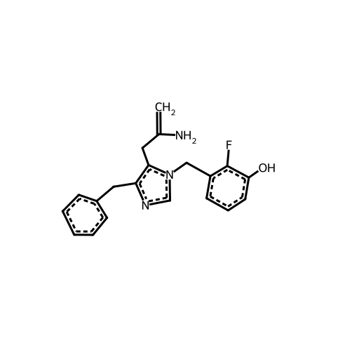 C=C(N)Cc1c(Cc2ccccc2)ncn1Cc1cccc(O)c1F